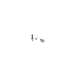 [CH3][Ti].[Nb].[V]